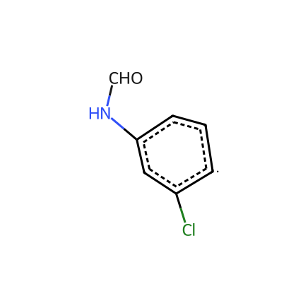 O=CNc1cc[c]c(Cl)c1